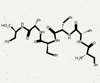 CC(C)C[C@H](NC(=O)[C@H](CC(C)C)NC(=O)[C@@H](NC(=O)[C@@H](N)CC(C)C)C(C)C)C(=O)N[C@H](C(=O)N[C@@H](CS)C(=O)O)C(C)C